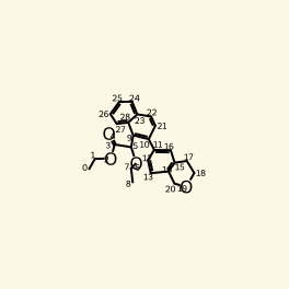 CCOC(=O)C(OCC)c1c(-c2ccc3c(c2)CCOC3)ccc2ccccc12